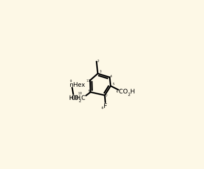 CCCCCCO.Cc1cc(C(=O)O)c(F)c(C(=O)O)c1